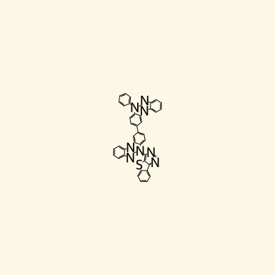 c1ccc(-n2c3ccc(-c4ccc5c(c4)n4c6ccccc6nc4n5-c4ncnc5c4sc4ccccc45)cc3n3c4ccccc4nc23)cc1